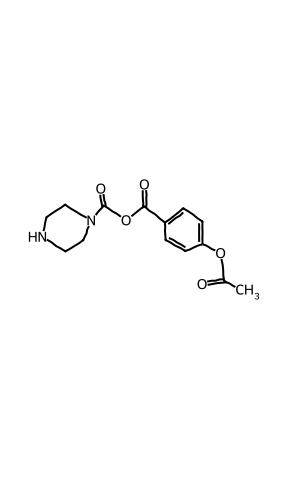 CC(=O)Oc1ccc(C(=O)OC(=O)N2CCNCC2)cc1